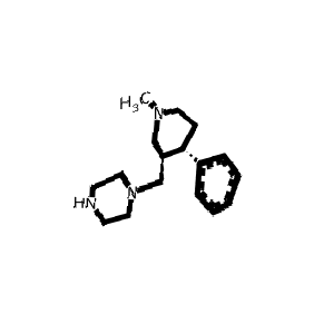 CN1CC[C@H](c2ccccc2)[C@@H](CN2CCNCC2)C1